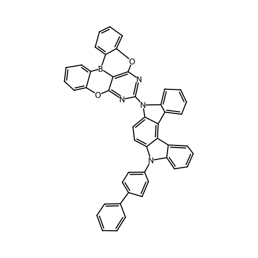 c1ccc(-c2ccc(-n3c4ccccc4c4c5c6ccccc6n(-c6nc7c8c(n6)Oc6ccccc6B8c6ccccc6O7)c5ccc43)cc2)cc1